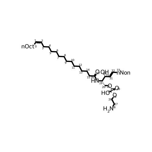 CCCCCCCC/C=C\CCCCCCCCCCCCCC(=O)N[C@@H](COP(=O)(O)OCCN)[C@H](O)/C=C/CCCCCCCCC